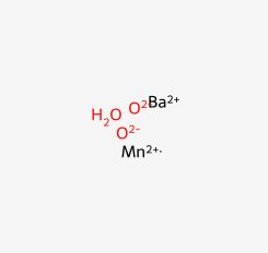 O.[Ba+2].[Mn+2].[O-2].[O-2]